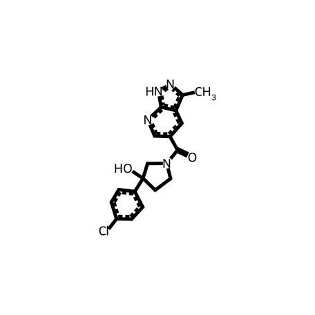 Cc1n[nH]c2ncc(C(=O)N3CCC(O)(c4ccc(Cl)cc4)C3)cc12